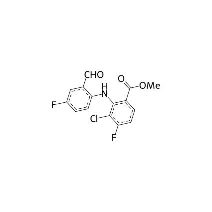 COC(=O)c1ccc(F)c(Cl)c1Nc1ccc(F)cc1C=O